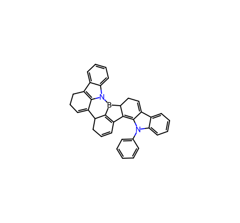 C1=CC2=C3B(C4CC=c5c(n(-c6ccccc6)c6ccccc56)=C24)n2c4c(c5ccccc52)CCC=C4C3C1